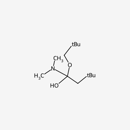 CN(C)C(O)(CC(C)(C)C)OCC(C)(C)C